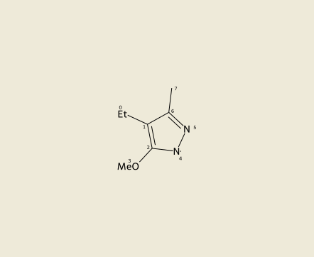 CCC1=C(OC)[N]N=C1C